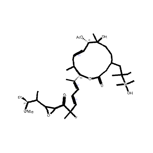 CC[C@H](OC)C(C)C1OC1C(=O)C(C)(F)/C=C/C=C(\C)[C@H]1OC(=O)CC(CC(C)(C)[Si](C)(C)O)CCC(C)(O)[C@@H](OC(C)=O)/C=C/C1C